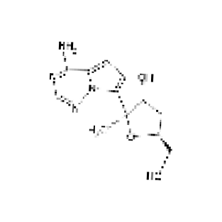 C[C@@]1(c2ccc3c(N)ncnn23)O[C@H](CO)C[C@H]1O